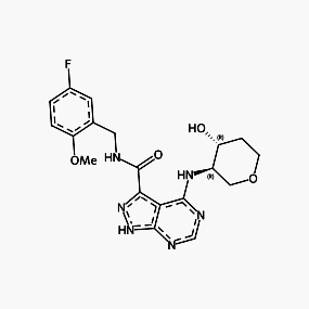 COc1ccc(F)cc1CNC(=O)c1n[nH]c2ncnc(N[C@@H]3COCC[C@H]3O)c12